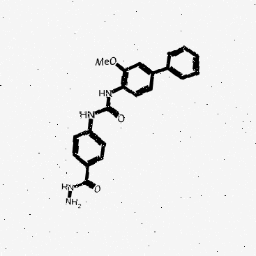 COc1cc(-c2ccccc2)ccc1NC(=O)Nc1ccc(C(=O)NN)cc1